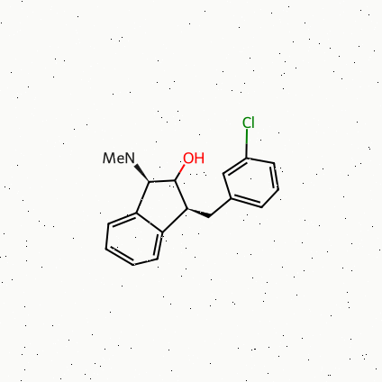 CN[C@@H]1c2ccccc2[C@H](Cc2cccc(Cl)c2)C1O